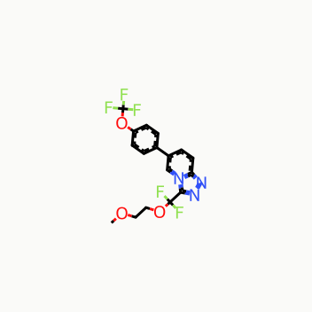 COCCOC(F)(F)c1nnc2ccc(-c3ccc(OC(F)(F)F)cc3)cn12